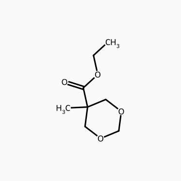 CCOC(=O)C1(C)COCOC1